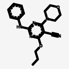 CCCOc1nc(Nc2ccccc2)nc(N2CCOCC2)c1C#N